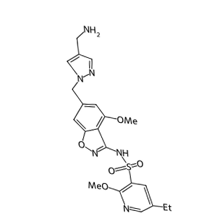 CCc1cnc(OC)c(S(=O)(=O)Nc2noc3cc(Cn4cc(CN)cn4)cc(OC)c23)c1